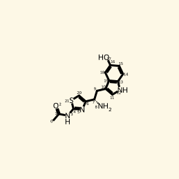 CC(=O)Nc1nc([C@@H](N)Cc2c[nH]c3ccc(O)cc23)cs1